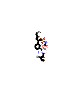 CCCCOC(=O)NS(=O)(=O)c1sc(CC(C)C)cc1-c1cccc(CNC(=O)c2sccc2CC)c1